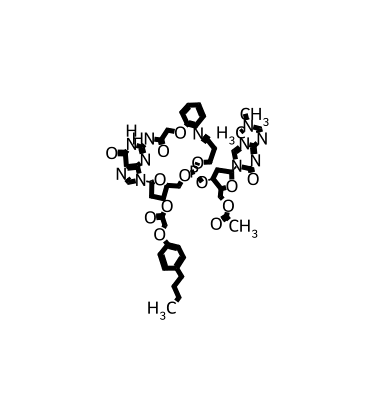 CCCCc1ccc(OCC(=O)O[C@@H]2C[C@H](n3cnc4c(=O)[nH]c(NC(=O)COc5ccccc5)nc43)OC2COP(OCCC#N)O[C@@H]2C[C@H](n3cnc(/N=C\N(C)C)nc3=O)OC2COC(C)=O)cc1